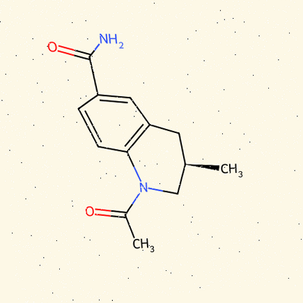 CC(=O)N1C[C@H](C)Cc2cc(C(N)=O)ccc21